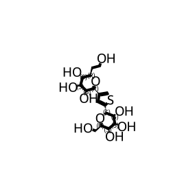 OCC[C@H]1O[C@H](c2csc([C@H]3O[C@H](CO)[C@@H](O)[C@H](O)[C@@H]3O)c2)[C@@H](O)[C@@H](O)[C@@H]1O